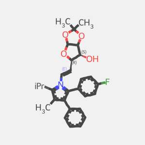 Cc1c(-c2ccccc2)c(-c2ccc(F)cc2)n(/C=C/[C@H]2OC3OC(C)(C)OC3[C@H]2O)c1C(C)C